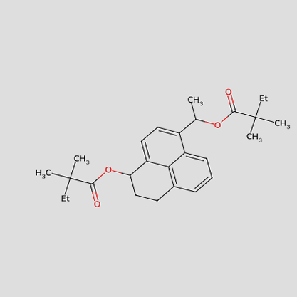 CCC(C)(C)C(=O)OC(C)c1ccc2c3c(cccc13)CCC2OC(=O)C(C)(C)CC